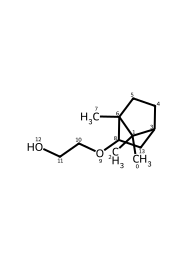 CC1(C)C2CCC1(C)C(OCCO)C2